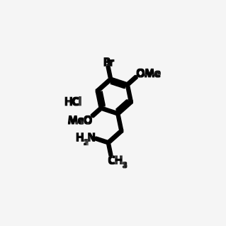 COc1cc(CC(C)N)c(OC)cc1Br.Cl